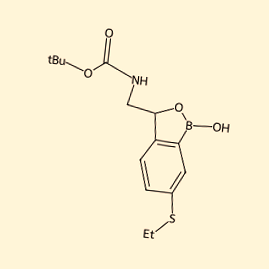 CCSc1ccc2c(c1)B(O)OC2CNC(=O)OC(C)(C)C